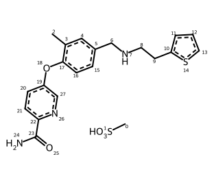 CS(=O)(=O)O.Cc1cc(CNCCc2cccs2)ccc1Oc1ccc(C(N)=O)nc1